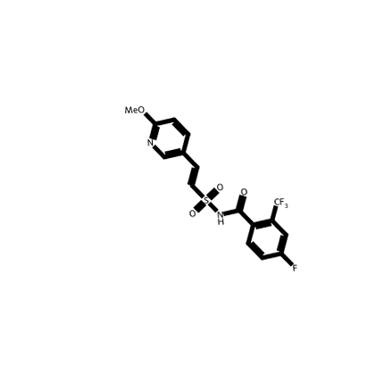 COc1ccc(C=CS(=O)(=O)NC(=O)c2ccc(F)cc2C(F)(F)F)cn1